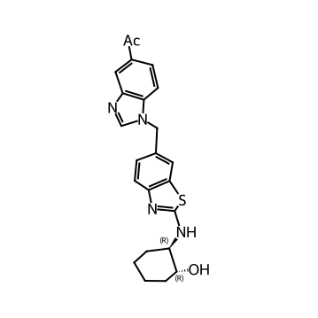 CC(=O)c1ccc2c(c1)ncn2Cc1ccc2nc(N[C@@H]3CCCC[C@H]3O)sc2c1